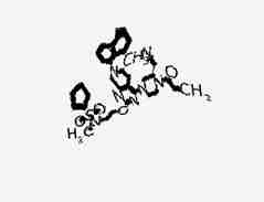 C=CC(=O)N1CCN(c2nc(OCCN(C)S(=O)(=O)C3CCCC3)nc3c2CCN(c2cccc4cccc(C)c24)C3)C[C@@H]1CC#N